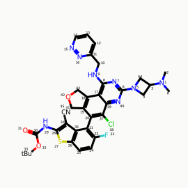 CN(C)C1CN(c2nc(NCc3cccnn3)c3c4c(c(-c5c(F)ccc6sc(NC(=O)OC(C)(C)C)c(C#N)c56)c(Cl)c3n2)COC4)C1